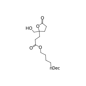 CCCCCCCCCCCCCCOC(=O)CCC1(CO)CCC(=O)O1